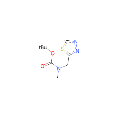 CN(Cc1nn[c]s1)C(=O)OC(C)(C)C